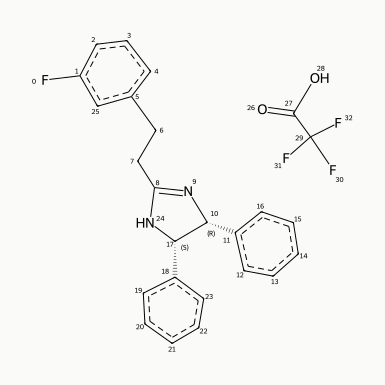 Fc1cccc(CCC2=N[C@H](c3ccccc3)[C@H](c3ccccc3)N2)c1.O=C(O)C(F)(F)F